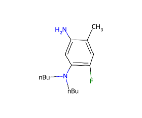 CCCCN(CCCC)c1cc(N)c(C)cc1F